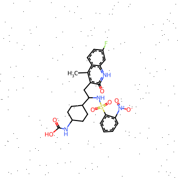 Cc1c(CC(NS(=O)(=O)c2ccccc2[N+](=O)[O-])C2CCC(NC(=O)O)CC2)c(=O)[nH]c2cc(F)ccc12